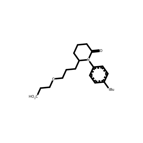 CC(C)(C)c1ccc(N2C(=O)CCCC2CCCOCCC(=O)O)cc1